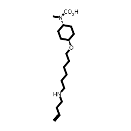 C=CCCNCCCCCCO[C@H]1CC[C@H](N(C)C(=O)O)CC1